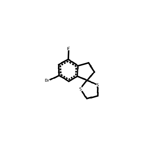 Fc1cc(Br)cc2c1CCC21SCCS1